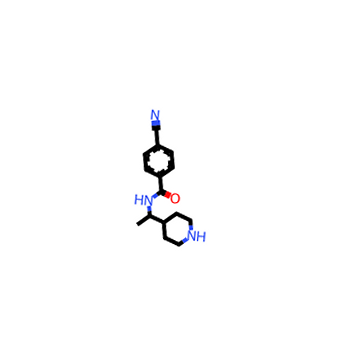 CC(NC(=O)c1ccc(C#N)cc1)C1CCNCC1